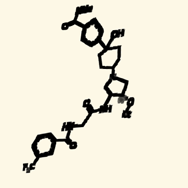 CCO[C@H]1CN(C2CCC(O)(c3ccc(C(=O)NC)cc3)CC2)CC1NC(=O)CNC(=O)c1cccc(C(F)(F)F)c1